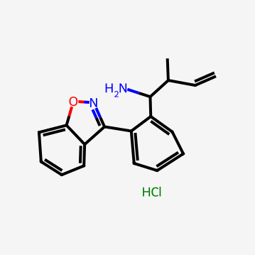 C=CC(C)C(N)c1ccccc1-c1noc2ccccc12.Cl